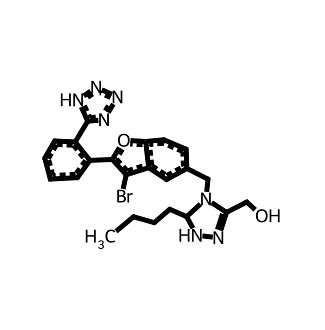 CCCCC1NN=C(CO)N1Cc1ccc2oc(-c3ccccc3-c3nnn[nH]3)c(Br)c2c1